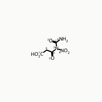 NC(=O)N(C(=O)CC(=O)O)[N+](=O)[O-]